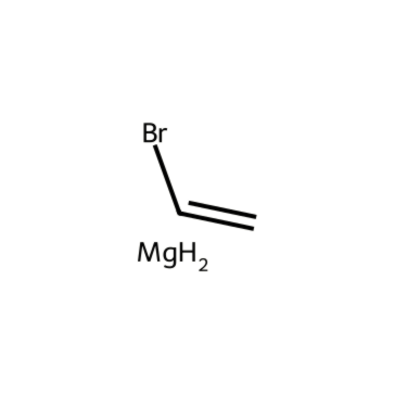 C=CBr.[MgH2]